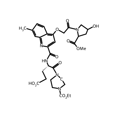 CCOC(=O)N1CCN(C(=O)[C@H](CCC(=O)O)NC(=O)c2cc(OCC(=O)N3CC(O)CC3C(=O)OC)c3ccc(C)cc3n2)CC1